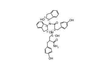 NC(=O)C(Cc1ccc(O)cc1)C[C@@H](O)C[C@@H](Cc1ccc(O)cc1)C(=O)N([C@H]1c2ccccc2C[C@H]1O)[C@H]1c2ccccc2C[C@H]1O